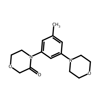 Cc1cc(N2CCOCC2)cc(N2CCOCC2=O)c1